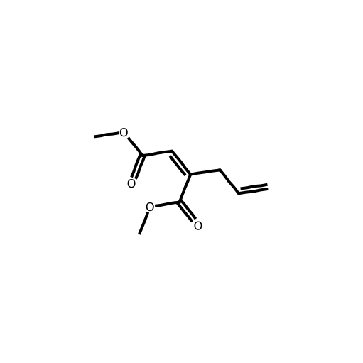 C=CCC(=CC(=O)OC)C(=O)OC